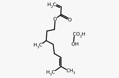 C=CC(=O)OCCC(C)CCC=C(C)C.O=C(O)O